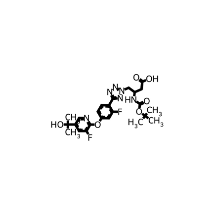 CC(C)(C)OC(=O)NC(CC(=O)O)Cn1nnc(-c2ccc(Oc3ncc(C(C)(C)O)cc3F)cc2F)n1